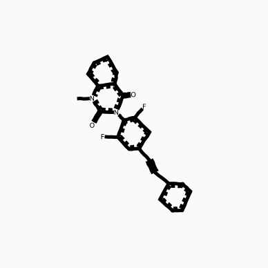 Cn1c(=O)n(-c2c(F)cc(C#Cc3ccccc3)cc2F)c(=O)c2ccccc21